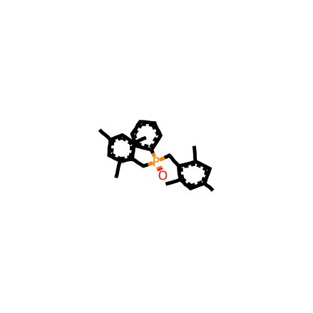 Cc1cc(C)c(CP(=O)(Cc2c(C)cc(C)cc2C)c2ccccc2)c(C)c1